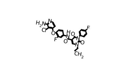 C=CCn1cc(C(=O)Nc2ccc(Oc3ccnc(N)c3Cl)c(F)c2)c(=O)n(-c2ccc(F)cc2)c1=O